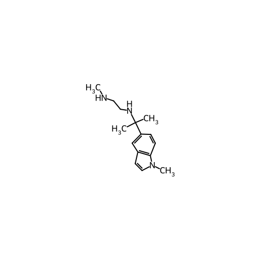 CNCCNC(C)(C)c1ccc2c(ccn2C)c1